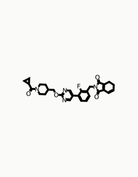 O=C(C1CC1)N1CCC(COc2ncc(-c3cccc(CN4C(=O)C5=C(CCC=C5)C4=O)c3F)cn2)CC1